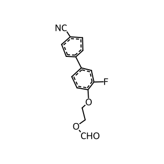 N#Cc1ccc(-c2ccc(OCCOC=O)c(F)c2)cc1